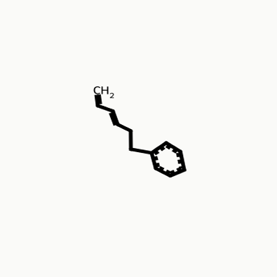 C=CC=CCCc1ccccc1